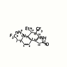 CCCN1C2=C(C=CC1CC(F)(F)F)C1=C(NC(=O)C1)C(C(F)(F)F)C2CC